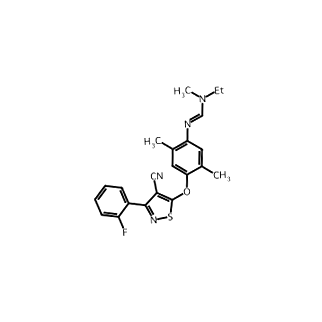 CCN(C)C=Nc1cc(C)c(Oc2snc(-c3ccccc3F)c2C#N)cc1C